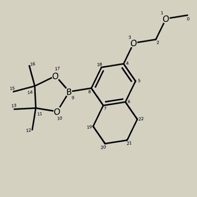 COCOc1cc2c(c(B3OC(C)(C)C(C)(C)O3)c1)CCCC2